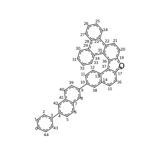 c1ccc(-c2ccc3cc(-c4ccc5c(ccc6oc7ccc8c9ccccc9c9ccccc9c8c7c65)c4)ccc3c2)cc1